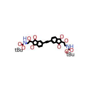 CC(C)(C)OC(=O)NCC(=O)C1C(=O)c2ccc(C#Cc3ccc4c(c3)C(=O)C(C(=O)CNC(=O)OC(C)(C)C)C4=O)cc2C1=O